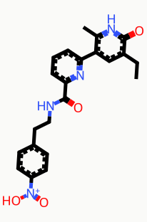 CCc1cc(-c2cccc(C(=O)NCCc3ccc([N+](=O)O)cc3)n2)c(C)[nH]c1=O